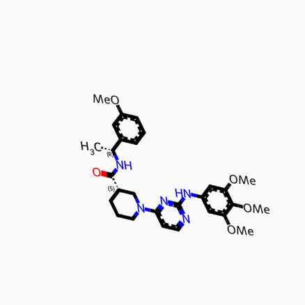 COc1cccc([C@@H](C)NC(=O)[C@H]2CCCN(c3ccnc(Nc4cc(OC)c(OC)c(OC)c4)n3)C2)c1